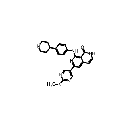 CSc1ncc(-c2cc3cc[nH]c(=O)c3c(Nc3ccc(C4CCNCC4)cc3)n2)cn1